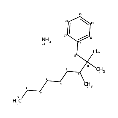 CCCCCCC(C)C(C)(Cl)Cc1ccccc1.N